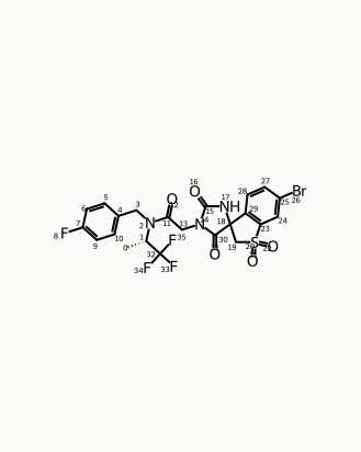 C[C@H](N(Cc1ccc(F)cc1)C(=O)CN1C(=O)NC2(CS(=O)(=O)c3cc(Br)ccc32)C1=O)C(F)(F)F